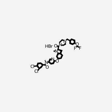 Br.CN(C(=O)c1ccc(Cl)c(Cl)c1)c1ccc(Oc2ccc3cc(C(=O)N4CCN(Cc5ccc(OC(F)F)cc5)CC4)n(C)c3c2)nc1